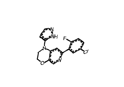 Fc1ccc(Cl)cc1-c1cc2c(cn1)OCCN2c1ccn[nH]1